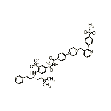 CN(C)CC[C@H](CSc1ccccc1)Nc1ccc(S(=O)(=O)NC(=O)c2ccc(N3CCN(Cc4cccnc4-c4ccc(S(C)(=O)=O)cc4)CC3)cc2)cc1[N+](=O)[O-]